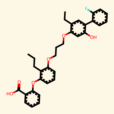 CCCc1c(OCCCOc2cc(O)c(-c3ccccc3F)cc2CC)cccc1Oc1ccccc1C(=O)O